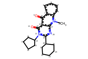 Cn1c2ccccc2c(=O)c2c(=O)n(C3CCCC3)c(C3CCCCC3)nc21